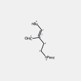 CCCC/C=C(\C=O)CCCCCCC